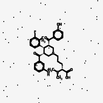 Cc1c(F)cccc1[C@H]1[C@@H](C(=O)c2cccc(O)c2)CN(CCC[C@H](C(=O)O)N(C)C)C[C@H]1C(=O)c1cccc(O)c1